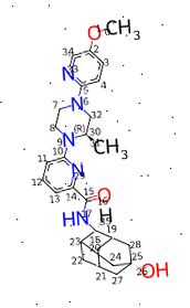 COc1ccc(N2CCN(c3cccc(C(=O)N[C@H]4C5CC6CC4C[C@](O)(C6)C5)n3)[C@H](C)C2)nc1